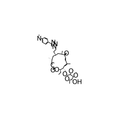 CC[C@H]1OC(=O)CC[C@H](C)C[C@@H](CCn2cc(-c3ccc(N(C)C)cc3)nn2)C[C@@H](C)C(=O)/C=C/C(C)=C/[C@@H]1CO[C@@H]1OC(C)[C@@H](O)[C@H](OC)C1OC